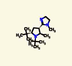 C[C@@H]1[C@@H](C2=NCCN2C)C[C@@H](C(C)(C)C)N1C(C)(C)C